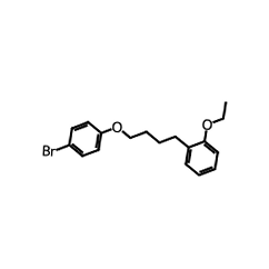 CCOc1ccccc1CCCCOc1ccc(Br)cc1